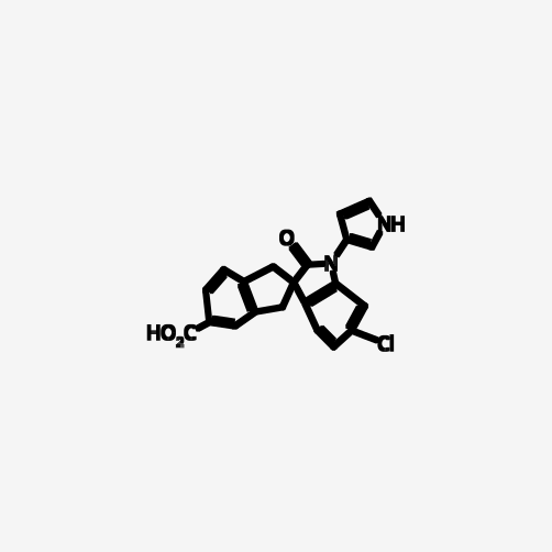 O=C(O)c1ccc2c(c1)CC1(C2)C(=O)N(c2cc[nH]c2)c2cc(Cl)ccc21